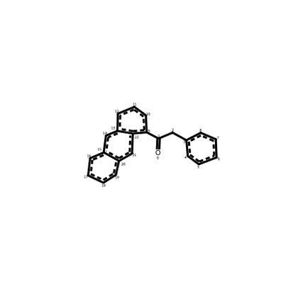 O=C(Cc1ccccc1)c1cccc2cc3ccccc3cc12